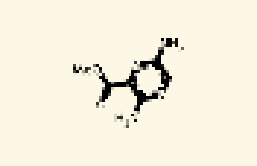 COC(=O)c1nc(N)cnc1N